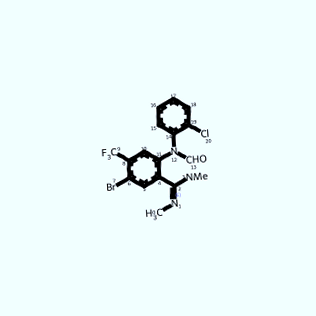 C/N=C(/NC)c1cc(Br)c(C(F)(F)F)cc1N(C=O)c1ccccc1Cl